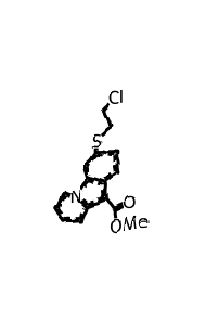 COC(=O)c1c2ccc(SCCCl)cc2n2ccccc12